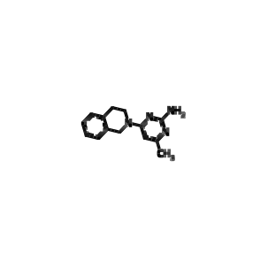 Cc1cc(N2CCc3ccccc3C2)nc(N)n1